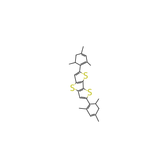 CC1=CC(C)=C(c2cc3sc4cc(C5=C(C)C=C(C)CC5C)sc4c3s2)C(C)C1